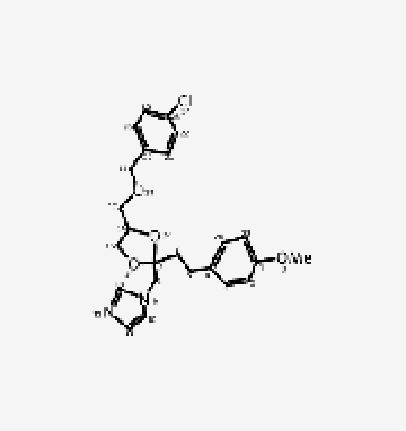 COc1ccc(CCC2(Cn3ccnc3)OCC(COCc3ccc(Cl)cc3)O2)cc1